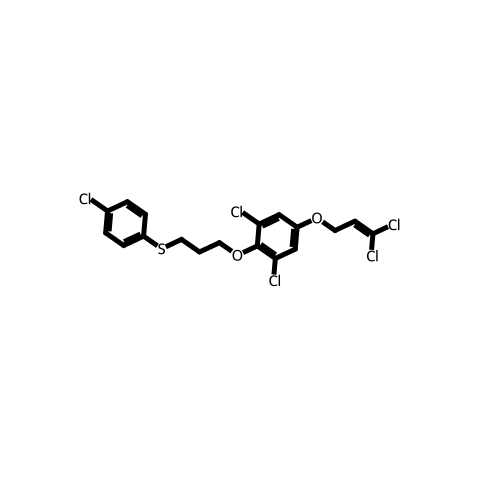 ClC(Cl)=CCOc1cc(Cl)c(OCCCSc2ccc(Cl)cc2)c(Cl)c1